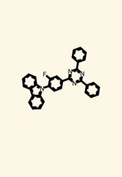 Fc1cc(-c2nc(-c3ccccc3)nc(-c3ccccc3)n2)ccc1-n1c2ccccc2c2ccccc21